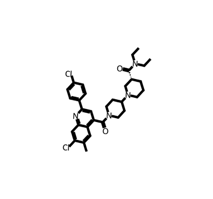 CCN(CC)C(=O)[C@@H]1CCCN(C2CCN(C(=O)c3cc(-c4ccc(Cl)cc4)nc4cc(Cl)c(C)cc34)CC2)C1